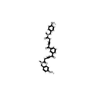 CN(Cc1ccc(N)cc1)C(=O)CC#CC(=O)c1cccc(C(=O)C#CCC(=O)N(C)Cc2ccc(N)cc2)c1